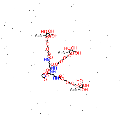 CC(=O)N[C@H]1[C@H](OCCOCCOCCOCC(=O)NCCCCC(NC(=O)C(CCCCNC(=O)COCCOCCOCCO[C@@H]2O[C@H](CO)[C@H](O)C(O)[C@H]2NC(C)=O)NC(=O)COCCOCCOCCO[C@@H]2O[C@H](CO)[C@H](O)[C@H](O)[C@H]2NC(C)=O)C(=O)ON2C(=O)CCC2=O)O[C@H](CO)[C@H](O)[C@@H]1O